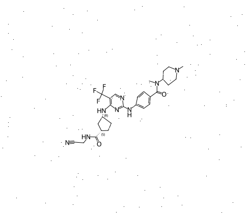 CN1CCC(N(C)C(=O)c2ccc(Nc3ncc(C(F)(F)F)c(N[C@@H]4CC[C@H](C(=O)NCC#N)C4)n3)cc2)CC1